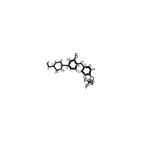 CCC1CCC(c2ccc(Cc3ccc(OC(F)(F)F)cc3)c(F)c2)CC1